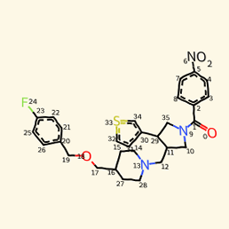 O=C(c1ccc([N+](=O)[O-])cc1)N1CC(CN2CCC(COCc3ccc(F)cc3)CC2)C(c2ccsc2)C1